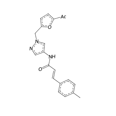 CC(=O)c1ccc(Cn2cc(NC(=O)C=Cc3ccc(C)cc3)cn2)o1